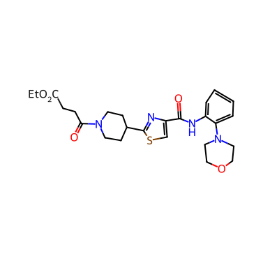 CCOC(=O)CCC(=O)N1CCC(c2nc(C(=O)Nc3ccccc3N3CCOCC3)cs2)CC1